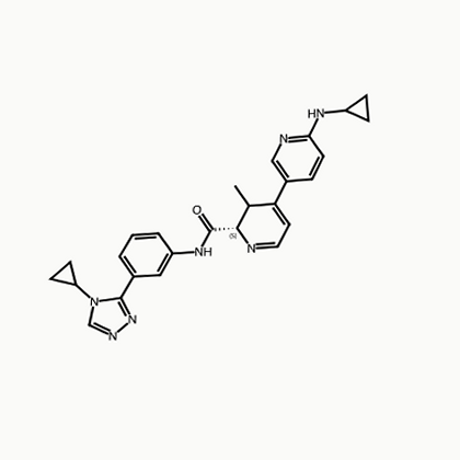 CC1C(c2ccc(NC3CC3)nc2)=CC=N[C@@H]1C(=O)Nc1cccc(-c2nncn2C2CC2)c1